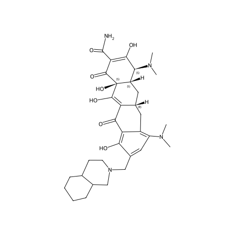 CN(C)c1cc(CN2CCC3CCCCC3C2)c(O)c2c1C[C@H]1C[C@H]3[C@H](N(C)C)C(O)=C(C(N)=O)C(=O)[C@@]3(O)C(O)=C1C2=O